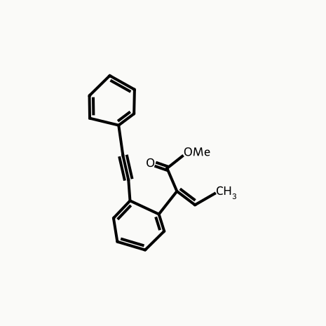 C/C=C(\C(=O)OC)c1ccccc1C#Cc1ccccc1